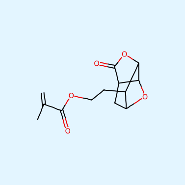 C=C(C)C(=O)OCCC1C2CC3C(=O)OC1C3O2